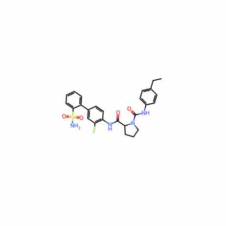 CCc1ccc(NC(=O)N2CCCC2C(=O)Nc2ccc(-c3ccccc3S(N)(=O)=O)cc2F)cc1